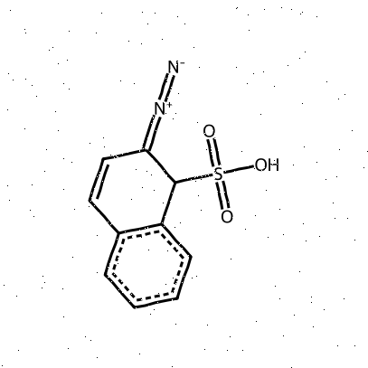 [N-]=[N+]=C1C=Cc2ccccc2C1S(=O)(=O)O